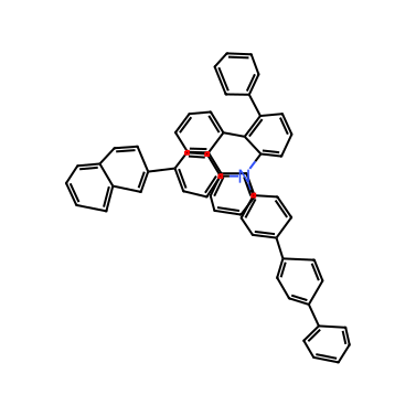 c1ccc(-c2ccc(-c3ccc(N(c4ccc(-c5ccc6ccccc6c5)cc4)c4cccc(-c5ccccc5)c4-c4ccccc4-c4ccccc4)cc3)cc2)cc1